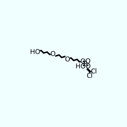 O=P(O)(OC=C(Cl)Cl)OCCCCOCCCCOCCCCO